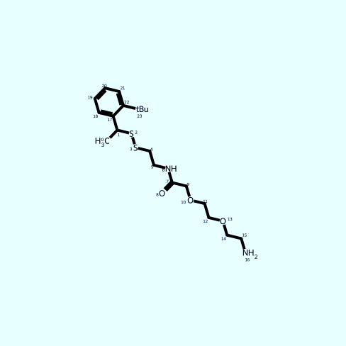 CC(SSCCNC(=O)COCCOCCN)c1ccccc1C(C)(C)C